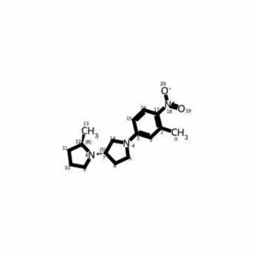 Cc1cc(N2CC[C@H](N3CCC[C@H]3C)C2)ccc1[N+](=O)[O-]